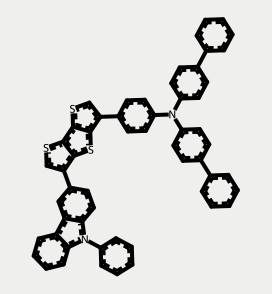 c1ccc(-c2ccc(N(c3ccc(-c4ccccc4)cc3)c3ccc(-c4csc5c4sc4c(-c6ccc7c(c6)c6ccccc6n7-c6ccccc6)csc45)cc3)cc2)cc1